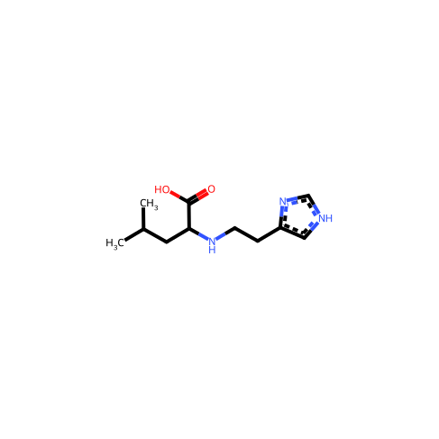 CC(C)CC(NCCc1c[nH]cn1)C(=O)O